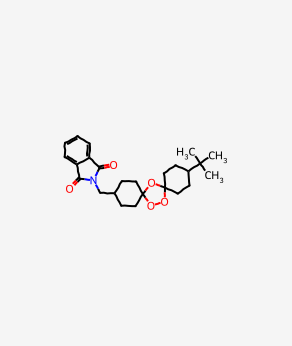 CC(C)(C)C1CCC2(CC1)OOC1(CCC(CN3C(=O)c4ccccc4C3=O)CC1)O2